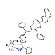 CC1(C)N=C(c2ccccc2)N(c2ccc(-c3cc4c(c5ccccc35)c3ccc(-c5ccc6ccccc6c5)cc3n4-c3ccccc3)cn2)C1(C)C